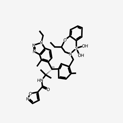 CCC1CN(Cc2cc([C@@H](c3ccc4c(nnn4CC)c3C)C(C)(C)NC(=O)c3ccno3)ccc2C)S(O)(O)c2ccccc2O1